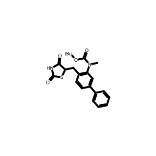 CN(C(=O)OC(C)(C)C)c1cc(-c2ccccc2)ccc1CC1SC(=O)NC1=O